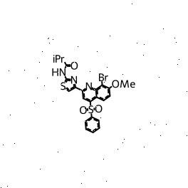 COc1ccc2c(S(=O)(=O)c3ccccc3)cc(-c3csc(NC(=O)C(C)C)n3)nc2c1Br